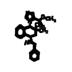 COC(=O)c1cncn1[C@H]1c2ccccc2[C@H](NCc2ccccc2)CC1(C)C